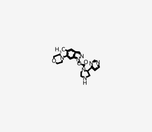 Cc1cc2cnn(OC(=O)N3CCNCC3c3ccncn3)c2cc1N1CCOCC1